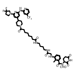 Cc1c(NCC(=O)NCCCCNC(=O)CCCCCCC(=O)N2CCC(c3cc(Nc4cc(C(F)(F)F)ccn4)nc(N4CCC(F)(F)C4)c3)CC2)cccc1C(=O)N(C=O)C1CCC(=O)NC1=O